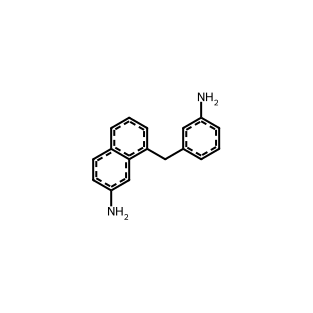 Nc1cccc(Cc2cccc3ccc(N)cc23)c1